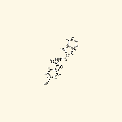 O=S(=O)(NCc1cn2ccccc2n1)c1ccc(F)cc1